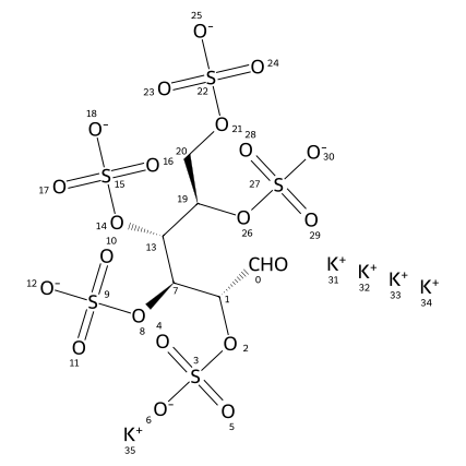 O=C[C@H](OS(=O)(=O)[O-])[C@@H](OS(=O)(=O)[O-])[C@H](OS(=O)(=O)[O-])[C@@H](COS(=O)(=O)[O-])OS(=O)(=O)[O-].[K+].[K+].[K+].[K+].[K+]